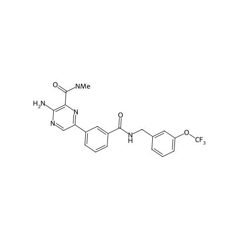 CNC(=O)c1nc(-c2cccc(C(=O)NCc3cccc(OC(F)(F)F)c3)c2)cnc1N